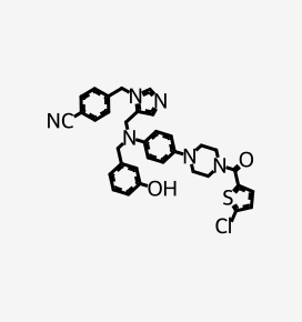 N#Cc1ccc(Cn2cncc2CN(Cc2cccc(O)c2)c2ccc(N3CCN(C(=O)c4ccc(Cl)s4)CC3)cc2)cc1